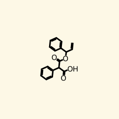 C=CC(OC(=O)C(C(=O)O)c1ccccc1)c1ccccc1